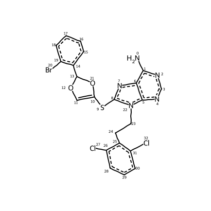 Nc1ncnc2c1nc(SC1=COC(c3ccccc3Br)O1)n2CCc1c(Cl)cccc1Cl